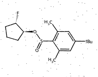 Cc1cc(C(C)(C)C)cc(C)c1S(=O)O[C@H]1CCC[C@@H]1F